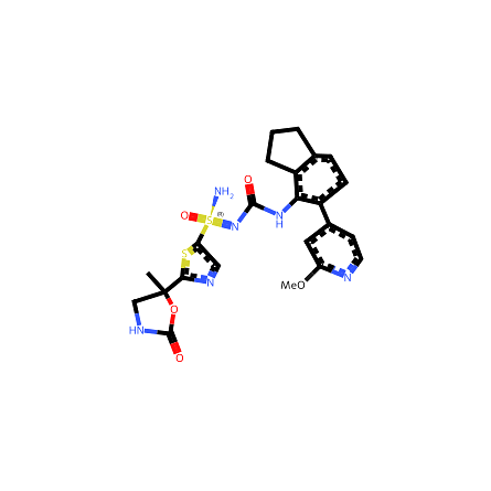 COc1cc(-c2ccc3c(c2NC(=O)N=[S@@](N)(=O)c2cnc(C4(C)CNC(=O)O4)s2)CCC3)ccn1